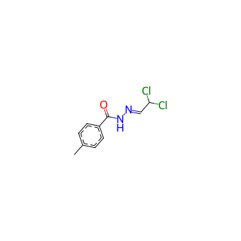 Cc1ccc(C(=O)N/N=C/C(Cl)Cl)cc1